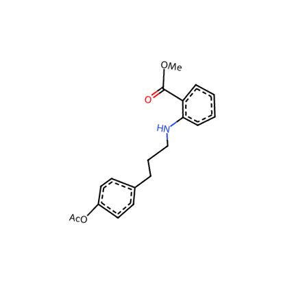 COC(=O)c1ccccc1NCCCc1ccc(OC(C)=O)cc1